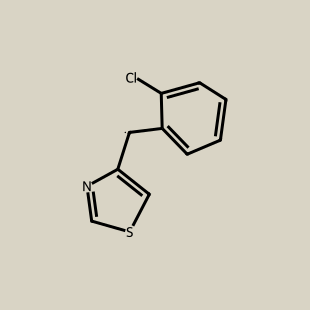 Clc1ccccc1[CH]c1cscn1